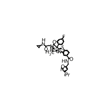 CC(C)c1cc(CNC(=O)c2ccc3sc(C(C(=O)NCC(=O)NC4CC4)(c4ccc(F)cc4)S(C)(=O)=O)nc3c2)on1